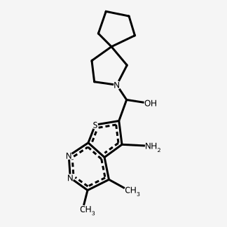 Cc1nnc2sc(C(O)N3CCC4(CCCC4)C3)c(N)c2c1C